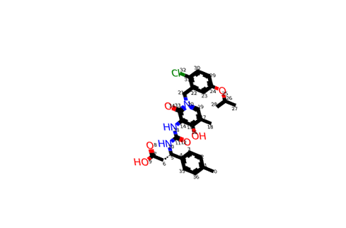 Cc1ccc([C@H](CC(=O)O)NC(=O)Nc2c(O)c(C)cn(Cc3cc(OC(C)C)ccc3Cl)c2=O)cc1